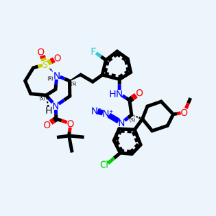 COC1CCC(c2ccc(Cl)cc2)([C@H](N=[N+]=[N-])C(=O)Nc2cccc(F)c2CC[C@H]2CN(C(=O)OC(C)(C)C)[C@H]3CCCS(=O)(=O)[N@@]2C3)CC1